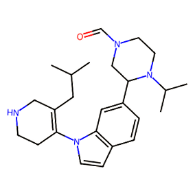 CC(C)CC1=C(n2ccc3ccc(C4CN(C=O)CCN4C(C)C)cc32)CCNC1